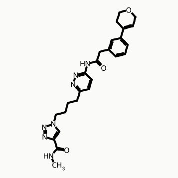 CNC(=O)c1cn(CCCCc2ccc(NC(=O)Cc3cccc(C4=CCOCC4)c3)nn2)nn1